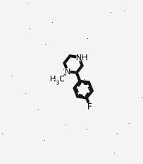 CN1CCNCC1c1ccc(F)cc1